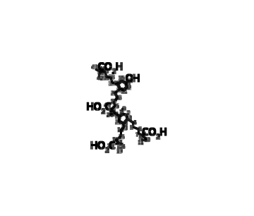 Cc1cc(CCCCC2(C(=O)O)CC2)c(CCCCC(C)(C)C(=O)O)cc1C1CC1(CCCCc1ccc(O)cc1CCCCC(C)(C)C(=O)O)C(=O)O